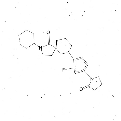 O=C1CCCN1c1ccc(N2CCC[C@]3(CCN(C4CCCCC4)C3=O)C2)c(F)c1